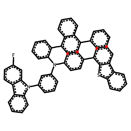 Fc1ccc2c3ccccc3n(-c3cccc(N(c4ccc(-c5cccc6c5sc5ccccc56)cc4)c4ccccc4-c4ccc(-c5ccccc5)c5ccccc45)c3)c2c1